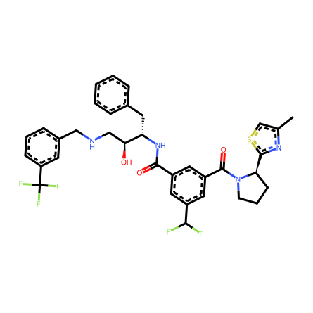 Cc1csc([C@H]2CCCN2C(=O)c2cc(C(=O)N[C@@H](Cc3ccccc3)[C@@H](O)CNCc3cccc(C(F)(F)F)c3)cc(C(F)F)c2)n1